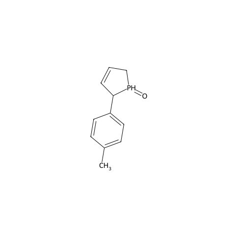 Cc1ccc(C2C=CC[PH]2=O)cc1